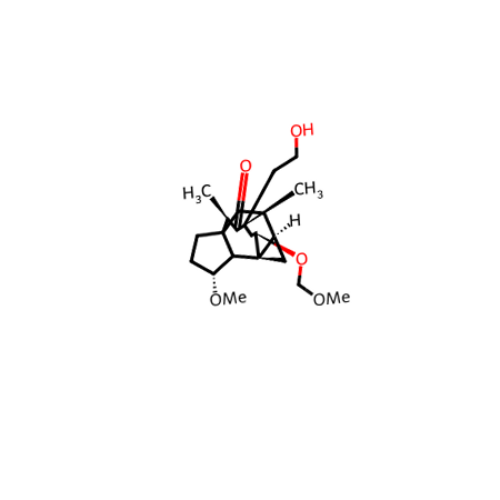 COCO[C@@H]1C[C@@](C)(CCO)C(=O)[C@H](C)C23CC[C@H]4C[C@]41C2[C@H](OC)CC3